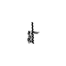 CCCCCCCCCCCCCCCC.CCOC(C)O.O=S(=O)([O-])OS(=O)(=O)[O-].[Na+].[Na+]